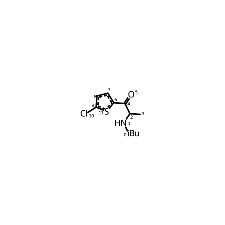 CCC(C)NC(C)C(=O)c1ccc(Cl)s1